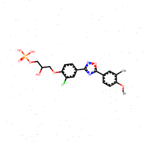 CC(C)Oc1ccc(-c2nc(-c3ccc(OCC(O)COP(=O)(O)O)c(Cl)c3)no2)cc1C#N